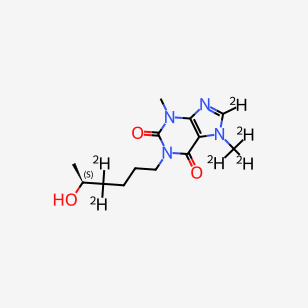 [2H]c1nc2c(c(=O)n(CCCC([2H])([2H])[C@H](C)O)c(=O)n2C)n1C([2H])([2H])[2H]